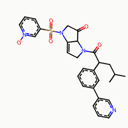 CC(C)CC(C(=O)N1CC=C2C1C(=O)CN2S(=O)(=O)c1ccc[n+]([O-])c1)c1cccc(-c2cccnc2)c1